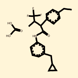 CCc1ccc(C(C(=O)Nc2cccc(CC3CC3)c2)C(C)C(F)(F)F)cc1.O=C(O)O